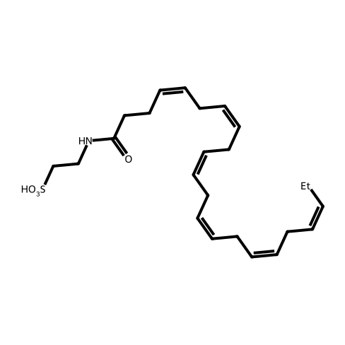 CC/C=C\C/C=C\C/C=C\C/C=C\C/C=C\C/C=C\CCC(=O)NCCS(=O)(=O)O